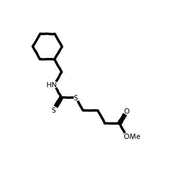 COC(=O)CCCSC(=S)NCC1CCCCC1